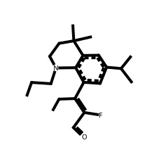 CCCN1CCC(C)(C)c2cc(C(C)C)cc(C(CC)=C(F)C=O)c21